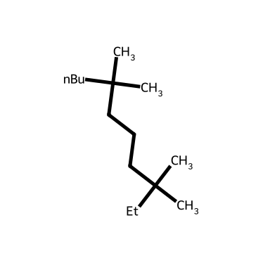 [CH2]CC(C)(C)CCCC(C)(C)CCCC